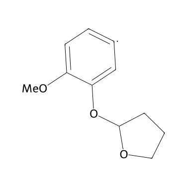 COc1cc[c]cc1OC1CCCO1